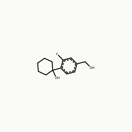 OCc1ccc(C2(O)CCCCC2)c(F)c1